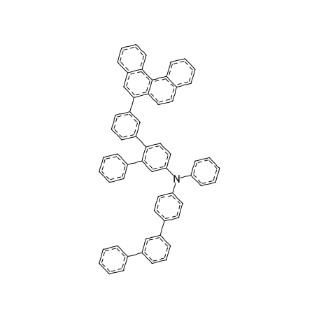 c1ccc(-c2cccc(-c3ccc(N(c4ccccc4)c4ccc(-c5cccc(-c6cc7ccccc7c7c6ccc6ccccc67)c5)c(-c5ccccc5)c4)cc3)c2)cc1